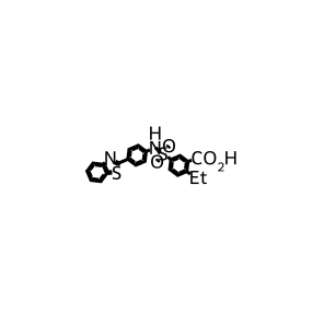 CCc1ccc(S(=O)(=O)Nc2ccc(-c3nc4ccccc4s3)cc2)cc1C(=O)O